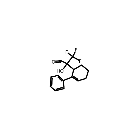 O=CC(O)(C1CCCC=C1c1ccccc1)C(F)(F)F